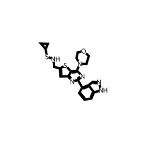 c1cc(-c2nc(N3CCOCC3)c3sc(CNSC4CC4)cc3n2)c2cn[nH]c2c1